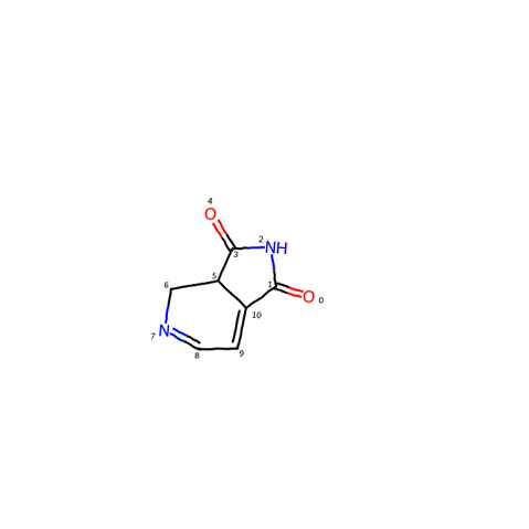 O=C1NC(=O)C2CN=CC=C12